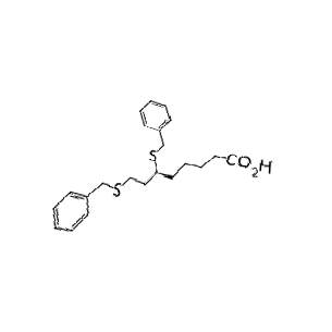 O=C(O)CCCC[C@@H](CCSCc1ccccc1)SCc1ccccc1